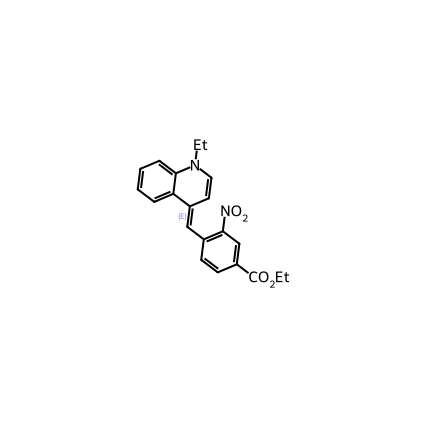 CCOC(=O)c1ccc(/C=C2\C=CN(CC)c3ccccc32)c([N+](=O)[O-])c1